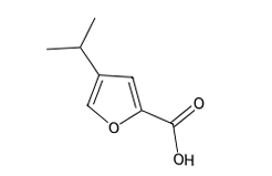 CC(C)c1coc(C(=O)O)c1